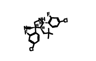 CC(C)(C)C[C@@H]1[C@@H](c2ccc(Cl)cc2F)NC[C@@]1(C#N)c1ccc(Cl)cc1F